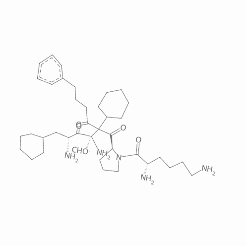 NCCCC[C@H](N)C(=O)N1CCC[C@H]1C(=O)C(C(=O)CCCc1ccccc1)(C1CCCCC1)[C@](N)([C]=O)C(=O)[C@H](N)CC1CCCCC1